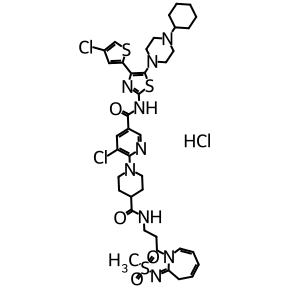 CS(=O)(=O)N=C1CC=CC=CN1CCCNC(=O)C1CCN(c2ncc(C(=O)Nc3nc(-c4cc(Cl)cs4)c(N4CCN(C5CCCCC5)CC4)s3)cc2Cl)CC1.Cl